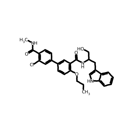 CCCOc1ccc(-c2ccc(C(=O)NC)c(Cl)c2)cc1C(=O)NC(CO)Cc1c[nH]c2ccccc12